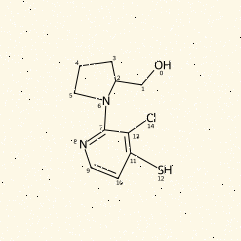 OCC1CCCN1c1nccc(S)c1Cl